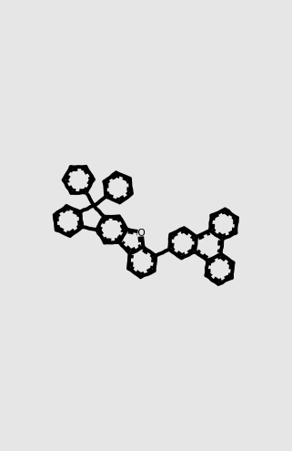 c1ccc(C2(c3ccccc3)c3ccccc3-c3cc4c(cc32)oc2c(-c3ccc5c6ccccc6c6ccccc6c5c3)cccc24)cc1